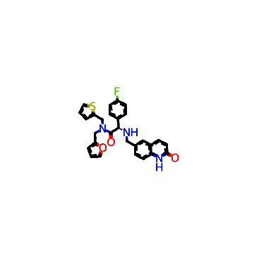 O=C([C@@H](NCc1ccc2[nH]c(=O)ccc2c1)c1ccc(F)cc1)N(Cc1ccco1)Cc1cccs1